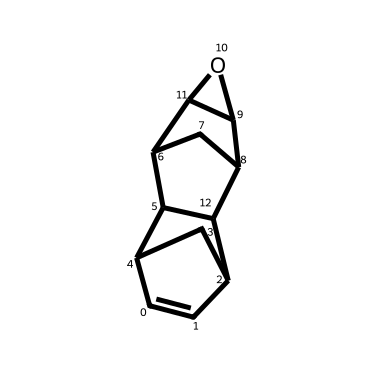 C1=CC2CC1C1C3CC(C4OC34)C21